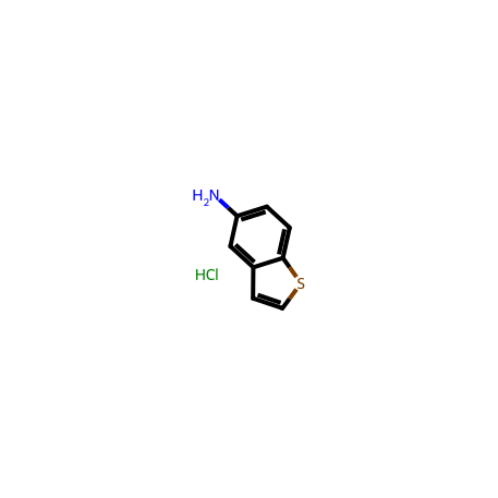 Cl.Nc1ccc2sccc2c1